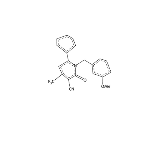 COc1cccc(Cn2c(-c3ccccc3)cc(C(F)(F)F)c(C#N)c2=O)c1